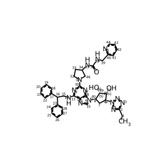 CCc1nnn([C@H]2C[C@@H](n3cnc4c(NCC(c5ccccc5)c5ccccc5)nc(N5CCC(NC(=O)NCc6ccccn6)C5)nc43)[C@H](O)[C@@H]2O)n1